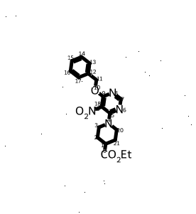 CCOC(=O)C1CCN(c2ncnc(OCc3ccccc3)c2[N+](=O)[O-])CC1